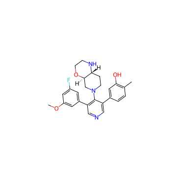 COc1cc(F)cc(-c2cncc(-c3ccc(C)c(O)c3)c2N2CC[C@H]3NCCO[C@@H]3C2)c1